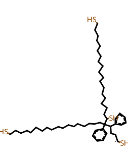 S[CH]CCC(c1ccccc1)C(CCCCCCCCCCCCCCCCCCS)([C](S)CCCCCCCCCCCCCCCCCCS)c1ccccc1